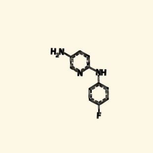 Nc1ccc(Nc2ccc(F)cc2)nc1